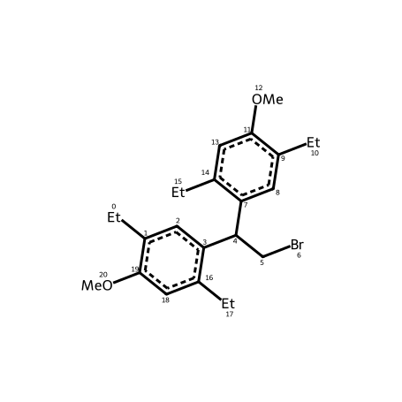 CCc1cc(C(CBr)c2cc(CC)c(OC)cc2CC)c(CC)cc1OC